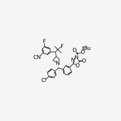 [C-]#[N+]c1cc(F)cc([C@H](C2CN([C@@H](c3ccc(Cl)cc3)c3cccc(-c4nn(C(=O)OC(C)(C)C)c(=O)o4)c3)C2)C(C)(C)F)c1